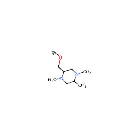 CC(C)OCC1CN(C)C(C)CN1C